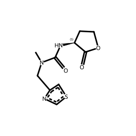 CN(Cc1cscn1)C(=O)N[C@H]1CCOC1=O